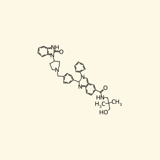 CC(C)(CO)CNC(=O)c1ccc2c(c1)=CN(c1ccccc1)C(c1ccc(CN3CCC(n4c(=O)[nH]c5ccccc54)CC3)cc1)N=2